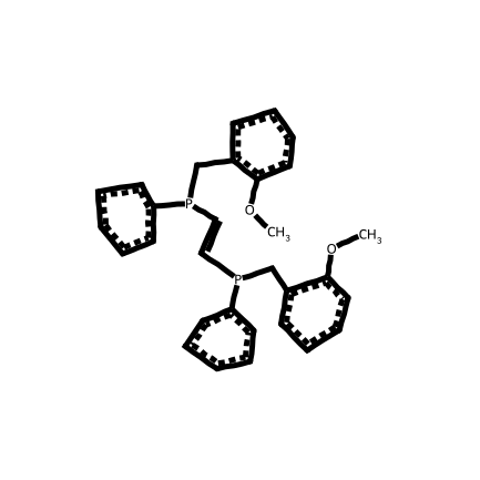 COc1ccccc1CP(C=CP(Cc1ccccc1OC)c1ccccc1)c1ccccc1